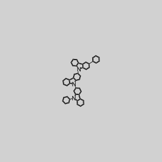 c1ccc(-c2ccc3c(c2)c2ccccc2n3-c2ccc3c(c2)c2ccccc2n3-c2ccc3c4ccccc4n(-c4ccccc4)c3c2)cc1